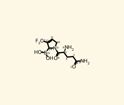 NC(=O)CC[C@H](N)C(=O)N1CC=C(C(F)(F)F)C1B(O)O